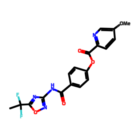 COc1ccc(C(=O)Oc2ccc(C(=O)Nc3noc(C(C)(F)F)n3)cc2)nc1